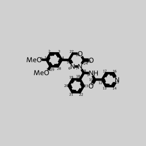 COc1ccc(C2=NN(C(NC(=O)c3ccncc3)c3ccccc3)C(=O)OC2)cc1OC